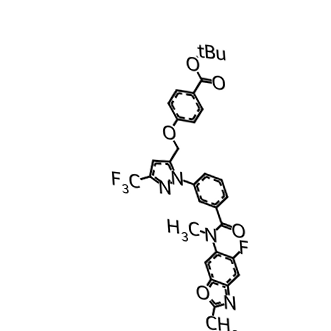 Cc1nc2cc(F)c(N(C)C(=O)c3cccc(-n4nc(C(F)(F)F)cc4COc4ccc(C(=O)OC(C)(C)C)cc4)c3)cc2o1